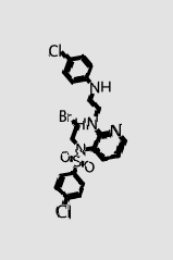 O=S(=O)(c1ccc(Cl)cc1)N(CCBr)c1cccnc1NCCNc1ccc(Cl)cc1